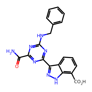 NC(=O)c1nc(NCc2ccccc2)nc(-c2n[nH]c3c(C(=O)O)cccc23)n1